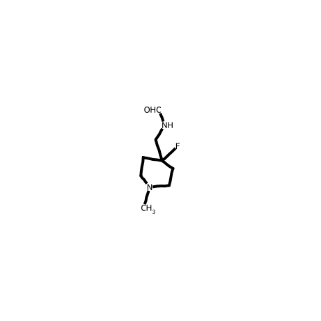 CN1CCC(F)(CNC=O)CC1